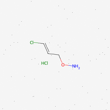 Cl.NOCC=CCl